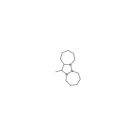 CC1C2CCCCCN2N2CCCCCN12